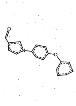 O=Cc1ccn(-c2ccc(Oc3ccccc3)cc2)c1